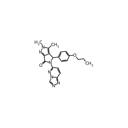 CCCOc1ccc(C2c3c(nn(C)c3C)C(=O)N2c2ccc3nncn3n2)cc1